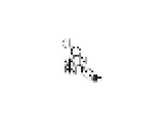 Clc1ccc2nc(N3CCNCC3)c3nnnn3c2c1